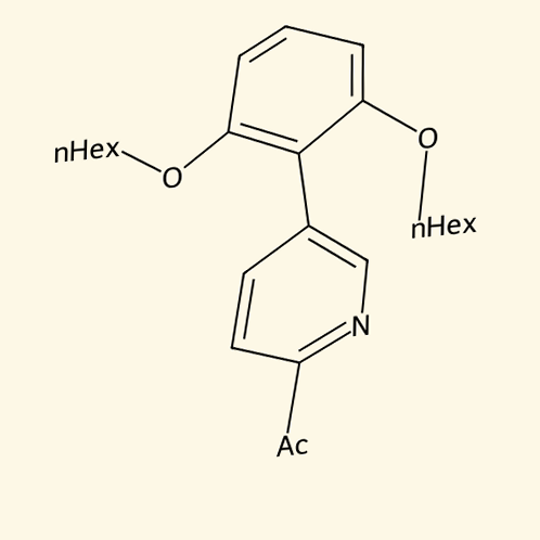 CCCCCCOc1cccc(OCCCCCC)c1-c1ccc(C(C)=O)nc1